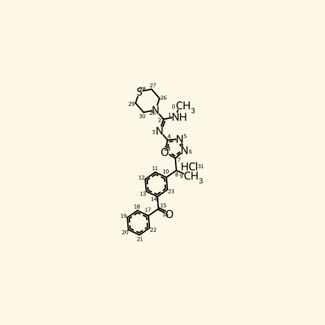 CN/C(=N\c1nnc(C(C)c2cccc(C(=O)c3ccccc3)c2)o1)N1CCSCC1.Cl